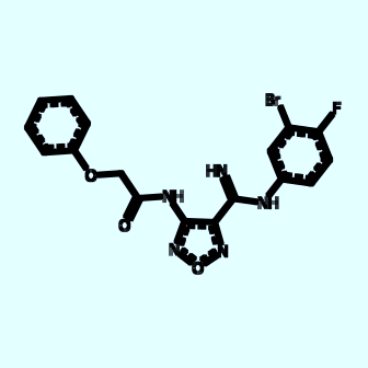 N=C(Nc1ccc(F)c(Br)c1)c1nonc1NC(=O)COc1ccccc1